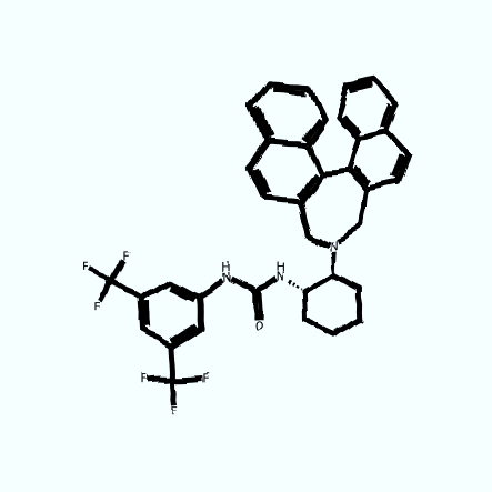 O=C(Nc1cc(C(F)(F)F)cc(C(F)(F)F)c1)N[C@H]1CCCC[C@@H]1N1Cc2ccc3ccccc3c2-c2c(ccc3ccccc23)C1